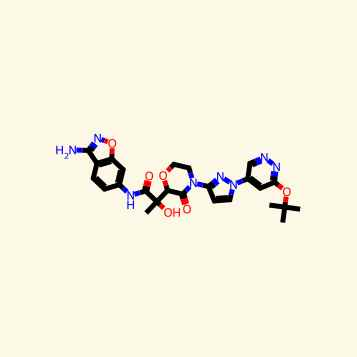 CC(C)(C)Oc1cc(-n2ccc(N3CCOC(C(C)(O)C(=O)Nc4ccc5c(N)noc5c4)C3=O)n2)cnn1